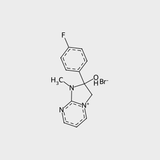 CN1c2nccc[n+]2CC1(O)c1ccc(F)cc1.[Br-]